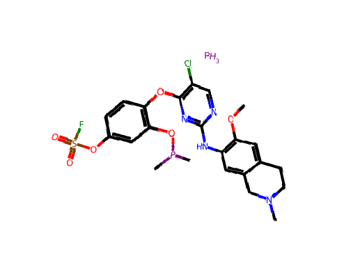 COc1cc2c(cc1Nc1ncc(Cl)c(Oc3ccc(OS(=O)(=O)F)cc3OP(C)C)n1)CN(C)CC2.P